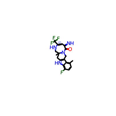 Cc1ccc(F)c2[nH]c3c(c12)CN1C(=O)C(=N)/C=C(/C(F)(F)F)NCC1(C)C3